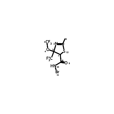 CC1=NC(OC(F)(F)F)(C(F)(F)F)C(C(=O)NBr)S1